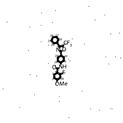 COc1ccc(C(=O)Nc2ccc(-c3nc(-c4ccccc4)c(C(F)(F)F)o3)cc2)c(F)c1